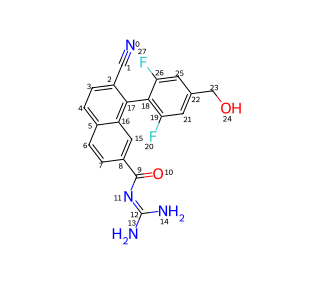 N#Cc1ccc2ccc(C(=O)N=C(N)N)cc2c1-c1c(F)cc(CO)cc1F